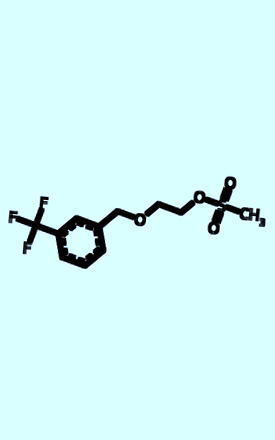 CS(=O)(=O)OCCOCc1cccc(C(F)(F)F)c1